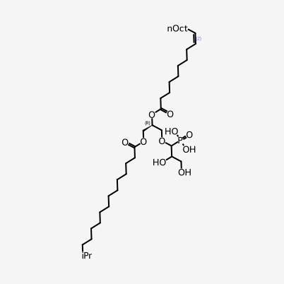 CCCCCCCC/C=C\CCCCCCCC(=O)O[C@H](COC(=O)CCCCCCCCCCCCC(C)C)COC(C(O)CO)P(=O)(O)O